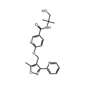 Cc1onc(-c2ccccn2)c1COc1ccc(C(=O)NC(C)(C)CO)cn1